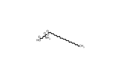 CCCCCCCCCCCCCCCCCCCCCC(=O)OC(=O)[C@@H](N)CCC(=O)O